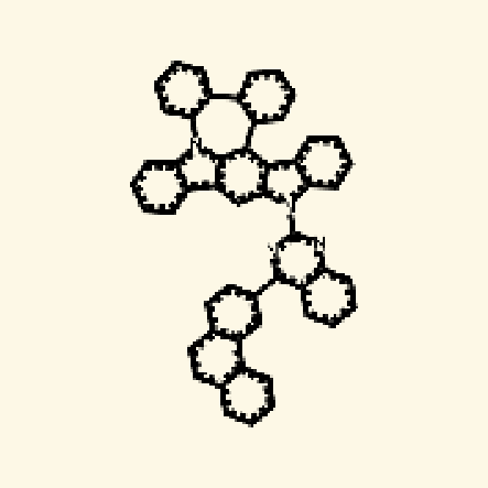 c1ccc2c(c1)-c1ccccc1-n1c3ccccc3c3cc4c(c-2c31)c1ccccc1n4-c1nc(-c2ccc3ccc4ccccc4c3c2)c2ccccc2n1